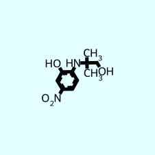 CC(C)(CO)Nc1ccc([N+](=O)[O-])cc1O